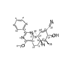 COc1nc(-c2ccccc2)nc2c1CC[C@H]1[C@H](C)C(O)C(C#N)=C[C@]21C